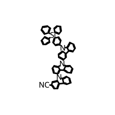 N#Cc1ccc2c3ccccc3n(-c3cccc4c3c3ccccc3n4-c3ccc4c(c3)c3ccccc3n4-c3ccc([Si](c4ccccc4)(c4ccccc4)c4ccccc4)cc3)c2c1